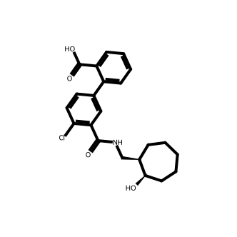 O=C(NC[C@H]1CCCCC[C@H]1O)c1cc(-c2ccccc2C(=O)O)ccc1Cl